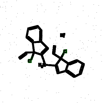 C=CC1(Cl)C([SiH2]C2=Cc3ccccc3C2(Cl)C=C)=Cc2ccccc21.[Hf]